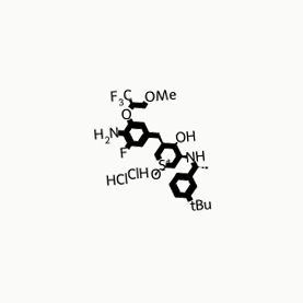 COC[C@@H](Oc1cc(C[C@@H]2C[S@@+]([O-])C[C@H](N[C@H](C)c3cccc(C(C)(C)C)c3)[C@H]2O)cc(F)c1N)C(F)(F)F.Cl.Cl